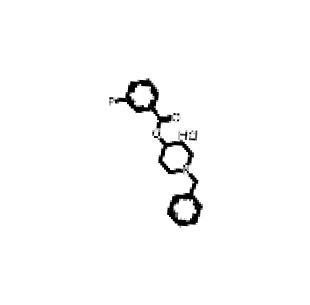 Cl.O=C(OC1CCN(Cc2ccccc2)CC1)c1cccc(F)c1